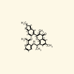 Cc1cc([C@@H](C)Nc2cccnc2C(N)=O)c2oc(-c3ccc4nn(C)cc4c3)c(C)c(=O)c2c1